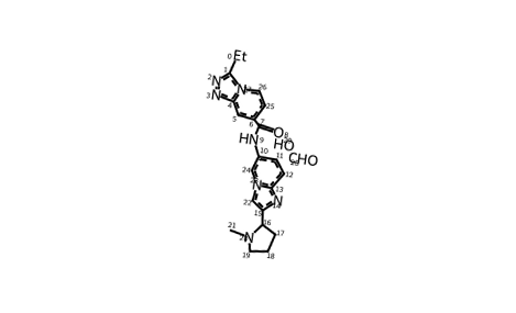 CCc1nnc2cc(C(=O)Nc3ccc4nc(C5CCCN5C)cn4c3)ccn12.O=CO